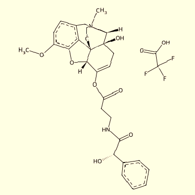 COc1ccc2c3c1O[C@H]1C(OC(=O)CCNC(=O)[C@@H](O)c4ccccc4)=CC[C@@]4(O)[C@@H](C2)N(C)CC[C@]314.O=C(O)C(F)(F)F